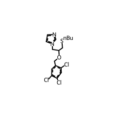 CCCCSCC(Cn1ccnc1)OCc1cc(Cl)c(Cl)cc1Cl